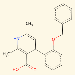 CC1=CC(c2ccccc2OCc2ccccc2)C(C(=O)O)=C(C)N1